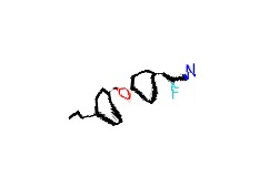 CCC[C@H]1CC[C@H](CO[C@H]2CC[C@H](C=C(F)C#N)CC2)CC1